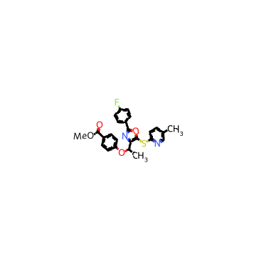 COC(=O)c1ccc(OC(C)c2nc(-c3ccc(F)cc3)oc2Sc2ccc(C)cn2)cc1